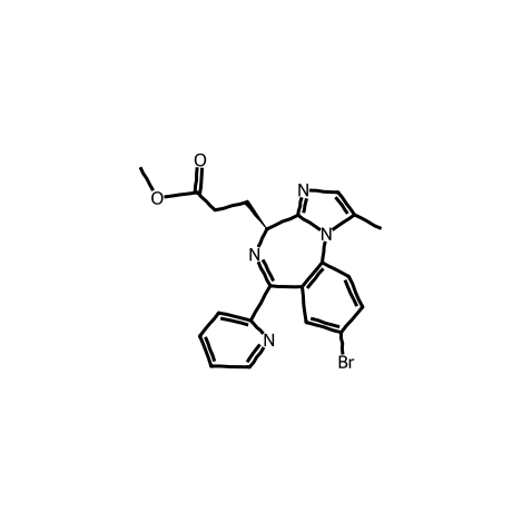 COC(=O)CC[C@@H]1N=C(c2ccccn2)c2cc(Br)ccc2-n2c(C)cnc21